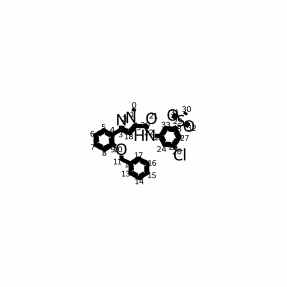 Cn1nc(-c2ccccc2OCc2ccccc2)cc1C(=O)Nc1cc(Cl)cc(S(C)(=O)=O)c1